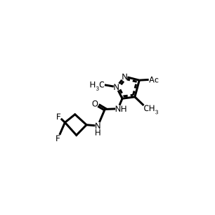 CC(=O)c1nn(C)c(NC(=O)NC2CC(F)(F)C2)c1C